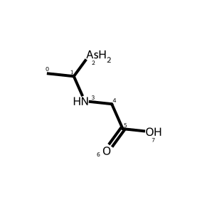 CC([AsH2])NCC(=O)O